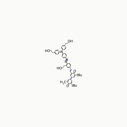 CC1=C/C(=C2C=C(/C=C/c3ccc(/N=N/c4ccc(N(c5ccc(CCO)cc5)c5ccc(CCO)cc5)cc4)c(CCO)c3)C(=O)C(C(C)(C)C)=C\2)C=C(C(C)(C)C)C1=O